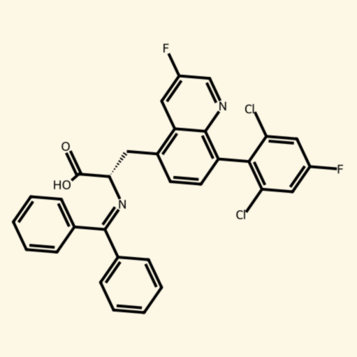 O=C(O)[C@H](Cc1ccc(-c2c(Cl)cc(F)cc2Cl)c2ncc(F)cc12)N=C(c1ccccc1)c1ccccc1